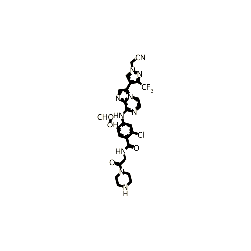 N#CCn1cc(-c2cnc3c(Nc4ccc(C(=O)NCC(=O)N5CCNCC5)c(Cl)c4)nccn23)c(C(F)(F)F)n1.O=CO